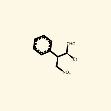 CC[C@H](C=O)[C@@H](C[N+](=O)[O-])c1ccccc1